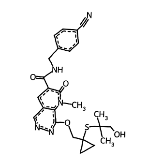 Cn1c(=O)c(C(=O)NCc2ccc(C#N)cc2)cc2cnnc(OCC3(SC(C)(C)CO)CC3)c21